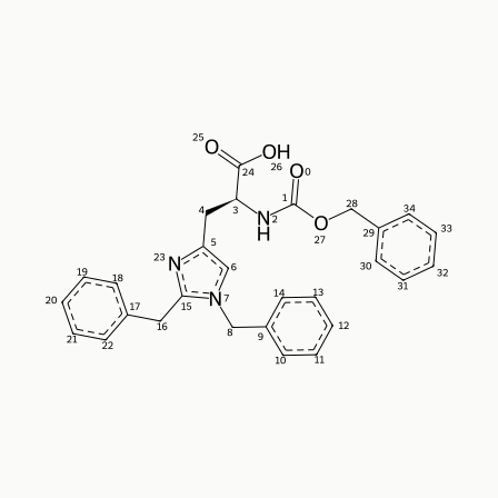 O=C(N[C@@H](Cc1cn(Cc2ccccc2)c(Cc2ccccc2)n1)C(=O)O)OCc1ccccc1